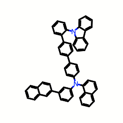 c1cc(-c2ccc3ccccc3c2)cc(N(c2ccc(-c3ccc(-c4ccccc4-n4c5ccccc5c5ccccc54)cc3)cc2)c2cccc3ccccc23)c1